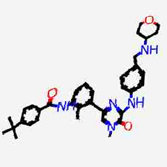 Cc1c(NC(=O)c2ccc(C(C)(C)C)cc2)cccc1-c1cn(C)c(=O)c(Nc2ccc(CNC3CCOCC3)cc2)n1